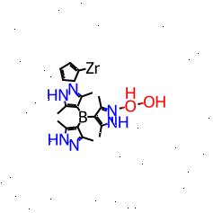 CO.CO.Cc1n[nH]c(C)c1B(c1c(C)n[nH]c1C)c1c(C)n[nH]c1C.[Zr][C]1=CC=CC1